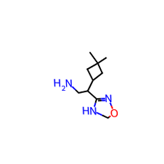 CC1(C)CC(C(CN)C2=NOCN2)C1